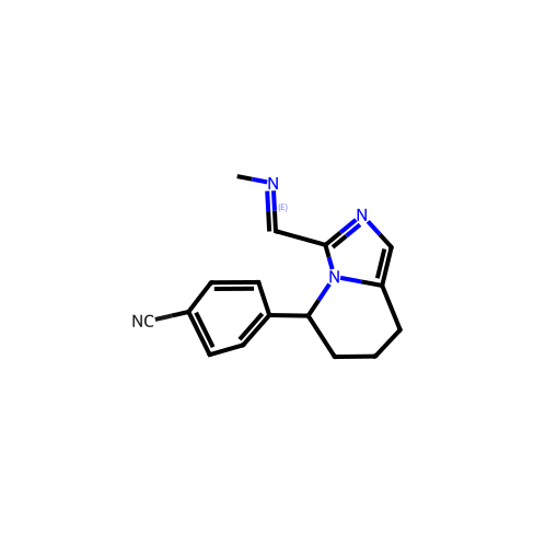 C/N=C/c1ncc2n1C(c1ccc(C#N)cc1)CCC2